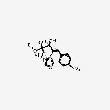 CCOC(C)(C)C(O)/C(=C/c1ccc([N+](=O)[O-])cc1)n1cncn1